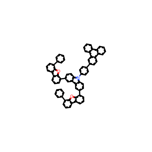 c1ccc(-c2cccc3c2oc2c(-c4ccc5c(c4)c4cc(-c6cccc7c6oc6c(-c8ccccc8)cccc67)ccc4n5-c4ccc(-c5ccc6c7ccccc7c7ccccc7c6c5)cc4)cccc23)cc1